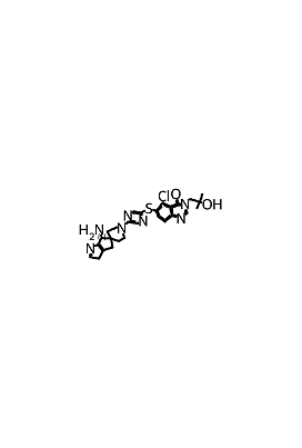 CC(C)(O)Cn1cnc2ccc(Sc3cnc(N4CCC5(CC4)CC4=C(N=CC4)[C@H]5N)cn3)c(Cl)c2c1=O